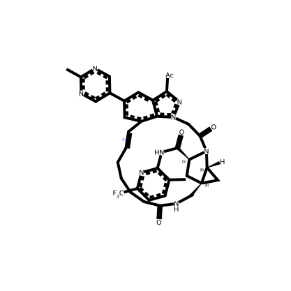 CC(=O)c1nn2c3c(cc(-c4cnc(C)nc4)cc13)/C=C/CCCCC(=O)NC[C@@]13C[C@@H](C(=O)Nc4nc(C(F)(F)F)ccc4C)N(C(=O)C2)[C@@H]1C3